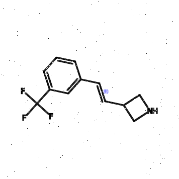 FC(F)(F)c1cccc(/C=C/C2CNC2)c1